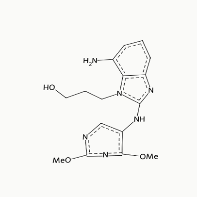 COc1ncc(Nc2nc3cccc(N)c3n2CCCO)c(OC)n1